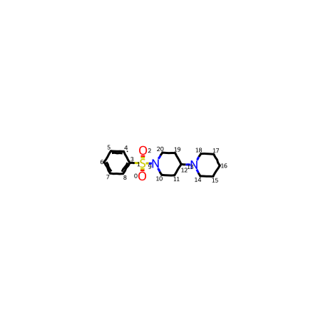 O=S(=O)(c1[c]cccc1)N1CCC(N2CCCCC2)CC1